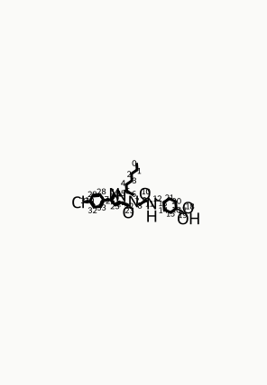 CCCCCC1CN(CC(=O)NC[C@H]2CC[C@H](C(=O)O)CC2)C(=O)c2cc(-c3ccc(Cl)cc3)nn21